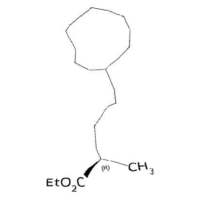 CCOC(=O)[C@H](C)CCC1CCCCC1